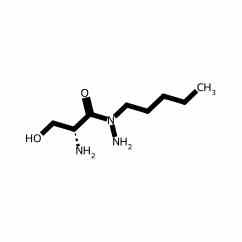 CCCCCN(N)C(=O)[C@H](N)CO